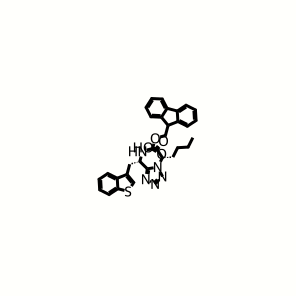 CCCC[C@@H](C(=O)O)n1nnnc1[C@H](Cc1csc2ccccc12)NC(=O)OCC1c2ccccc2-c2ccccc21